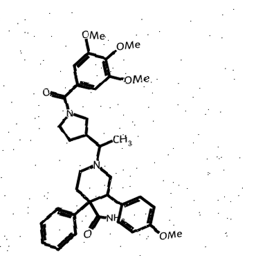 COc1ccc(C2CN(C(C)C3CCN(C(=O)c4cc(OC)c(OC)c(OC)c4)C3)CCC2(C(N)=O)c2ccccc2)cc1